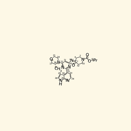 CC(C)OC(=O)N1CCS(=O)(=Nc2cc(N3CCOC[C@H]3C)nc(-c3ccnc4[nH]ccc34)n2)CC1